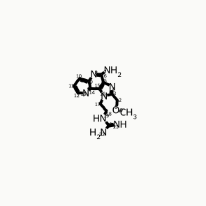 COCc1nc2c(N)nc3cccnc3c2n1CCNC(=N)N